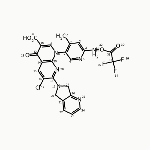 Cc1cc(N)ncc1-n1cc(C(=O)O)c(=O)c2cc(Cl)c(N3Cc4cccnc4C3)nc21.O=C(O)C(F)(F)F